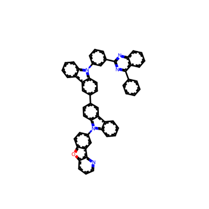 c1ccc(-c2nc(-c3cccc(-n4c5ccccc5c5cc(-c6ccc7c(c6)c6ccccc6n7-c6ccc7oc8cccnc8c7c6)ccc54)c3)nc3ccccc23)cc1